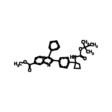 COC(=O)c1ccn2c(-c3ccccc3)c(-c3ccc(C4(NC(=O)OC(C)(C)C)CCC4)cc3)nc2c1